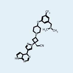 CN(C)Cc1cc(OC2CCN([C@H]3C[C@](CC#N)(n4cc(C5N=CN=C6NC=CC65)cn4)C3)CC2)cc(C(F)(F)F)c1